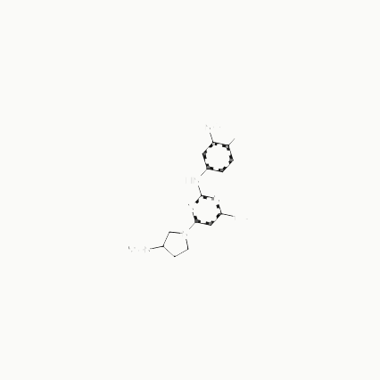 CCCCc1cc(N2CCC(NC)C2)nc(Nc2ccc(Cl)c([N+](=O)[O-])c2)n1